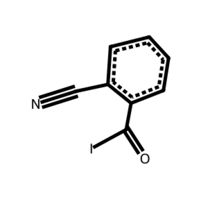 N#Cc1ccccc1C(=O)I